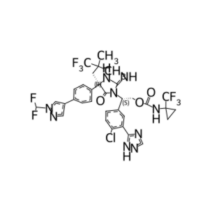 CC(C)(C[C@]1(c2ccc(-c3cnn(C(F)F)c3)cc2)NC(=N)N([C@H](COC(=O)NC2(C(F)(F)F)CC2)c2ccc(Cl)c(-c3ncn[nH]3)c2)C1=O)C(F)(F)F